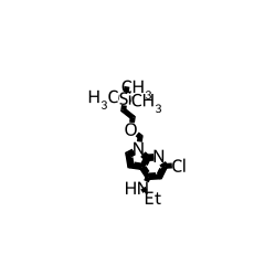 CCNc1cc(Cl)nc2c1ccn2COCC[Si](C)(C)C